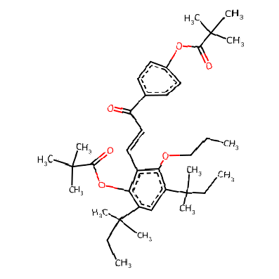 CCCOc1c(C(C)(C)CC)cc(C(C)(C)CC)c(OC(=O)C(C)(C)C)c1C=CC(=O)c1ccc(OC(=O)C(C)(C)C)cc1